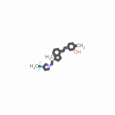 C=C1CC/C(=C/C=C2\CCCC3(C)C2CC[C@@H]3CCN2CC[C@H](C(C)(F)F)C2)CC1O